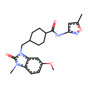 COc1ccc2c(c1)n(CC1CCC(C(=O)Nc3cc(C)on3)CC1)c(=O)n2C